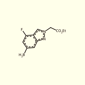 Bc1cc(F)c2cn(CC(=O)OCC)nc2c1